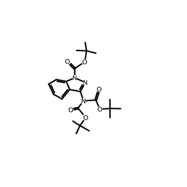 CC(C)(C)OC(=O)N(C(=O)OC(C)(C)C)c1nn(C(=O)OC(C)(C)C)c2ccccc12